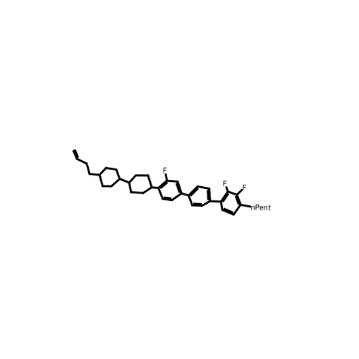 C=CCCC1CCC(C2CCC(c3ccc(-c4ccc(-c5ccc(CCCCC)c(F)c5F)cc4)cc3F)CC2)CC1